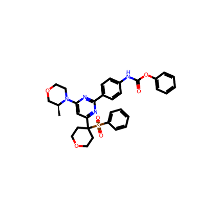 C[C@H]1COCCN1c1cc(C2(S(=O)(=O)c3ccccc3)CCOCC2)nc(-c2ccc(NC(=O)Oc3ccccc3)cc2)n1